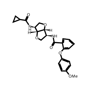 COc1ccc(Oc2ccccc2C(=O)N[C@H]2CO[C@H]3[C@@H]2OC[C@@H]3NC(=O)C2CC2)cc1